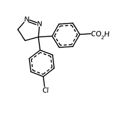 O=C(O)c1ccc(C2(c3ccc(Cl)cc3)CCN=N2)cc1